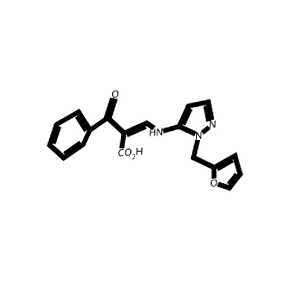 O=C(O)/C(=C\Nc1ccnn1Cc1ccco1)C(=O)c1ccccc1